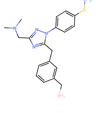 BCc1cccc(Cc2nc(CN(C)C)nn2-c2ccc(SN)cc2)c1